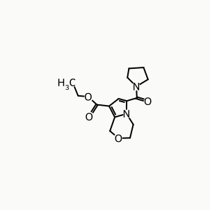 CCOC(=O)c1cc(C(=O)N2CCCC2)n2c1COCC2